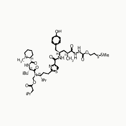 CCC(C)[C@H](NC(=O)[C@H]1CCCCN1C)C(=O)N(COC(=O)CC(C)C)[C@H](CCc1nc(C(=O)N[C@@H](Cc2ccc(O)cc2)C[C@H](C)C(=O)NNC(=O)OCCSSC)cs1)C(C)C